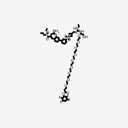 CCCN(OCC)C(=O)C1=Cc2ccc(-c3cccc(S(=O)(=O)N4CC(C/N=C(\NCC)NC(CO)OCCOCCOCCOCCOCCOCCOCCOCCOCCC(=O)Oc5c(F)c(F)cc(F)c5F)C4)c3)cc2N=C(N)C1